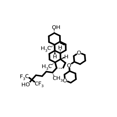 C1COCC(OC2CCCOC2)C1.C[C@H](CCCC(O)(C(F)(F)F)C(F)(F)F)[C@H]1CC[C@H]2[C@@H]3CC=C4C[C@@H](O)CC[C@]4(C)[C@H]3CC[C@]12C